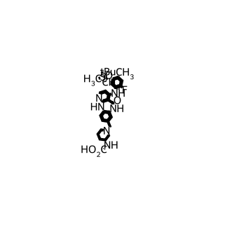 Cc1cc(F)c(Nc2ccnc3c2C(=O)Nc2cc(CN4CCC[C@@H](NC(=O)O)C4)ccc2N3)cc1O[Si](C)(C)C(C)(C)C